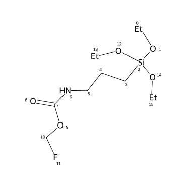 CCO[Si](CCCNC(=O)OCF)(OCC)OCC